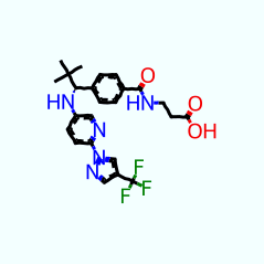 CC(C)(C)[C@@H](Nc1ccc(-n2cc(C(F)(F)F)cn2)nc1)c1ccc(C(=O)NCCC(=O)O)cc1